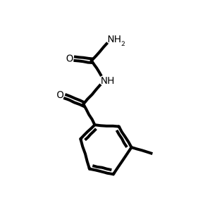 Cc1cccc(C(=O)NC(N)=O)c1